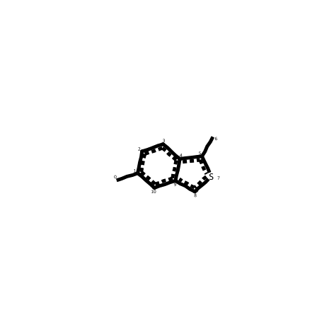 Cc1ccc2c(C)s[c]c2c1